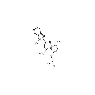 Cc1c(-c2cc(C(=O)O)c3c(OCC(F)F)ccc(C)c3n2)oc2ccccc12